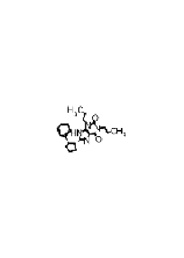 CCCn1c(=O)c2nc([C@@H]3CCC[C@H]3c3ccccc3)[nH]c2n(CCC)c1=O